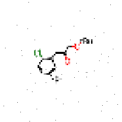 CC(C)c1ccc(Cl)c(CC(=O)COC(C)(C)C)c1